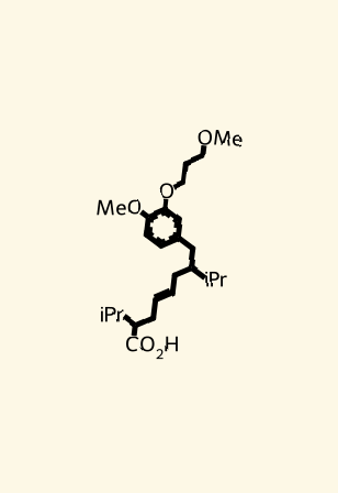 COCCCOc1cc(CC(C/C=C/CC(C(=O)O)C(C)C)C(C)C)ccc1OC